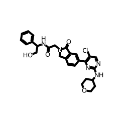 O=C(CN1Cc2ccc(-c3nc(NC4CCOCC4)ncc3Cl)cc2C1=O)NC(CO)c1ccccc1